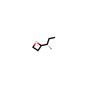 CC[C@H](C)C1CCO1